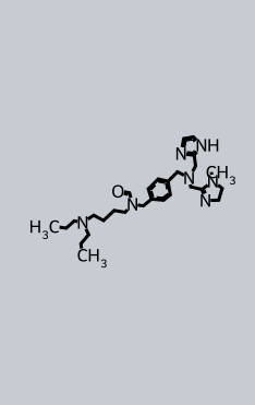 CCCN(CCC)CCCCN(C=O)Cc1ccc(CN(CC2=NCCN2C)Cc2ncc[nH]2)cc1